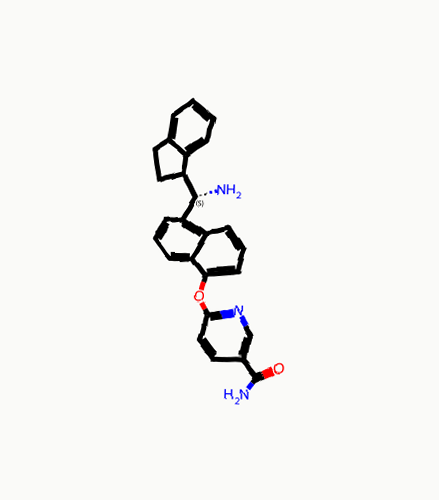 NC(=O)c1ccc(Oc2cccc3c([C@@H](N)C4CCc5ccccc54)cccc23)nc1